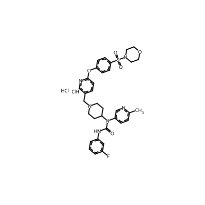 Cc1ccc(N(C(=O)Nc2cccc(F)c2)C2CCN(Cc3ccc(Oc4ccc(S(=O)(=O)N5CCOCC5)cc4)nc3)CC2)cn1.Cl.Cl